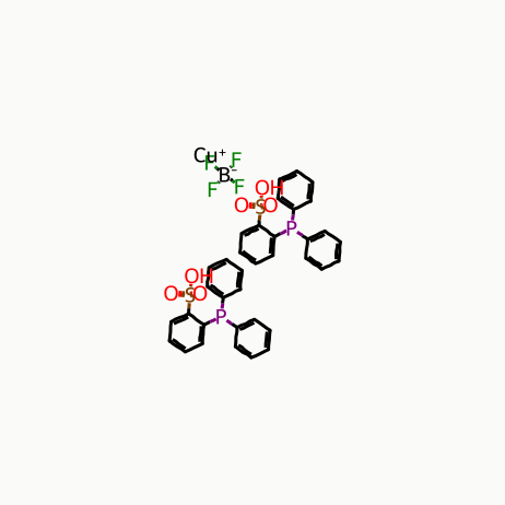 F[B-](F)(F)F.O=S(=O)(O)c1ccccc1P(c1ccccc1)c1ccccc1.O=S(=O)(O)c1ccccc1P(c1ccccc1)c1ccccc1.[Cu+]